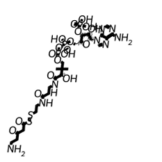 CC(C)(COP(=O)(O)OP(=O)(O)OC[C@H]1O[C@@H](n2cnc3c(N)ncnc32)[C@H](O)[C@@H]1OP(=O)(O)O)[C@@H](O)C(=O)NCCC(=O)NCCSSC(=O)CC(=O)CCN